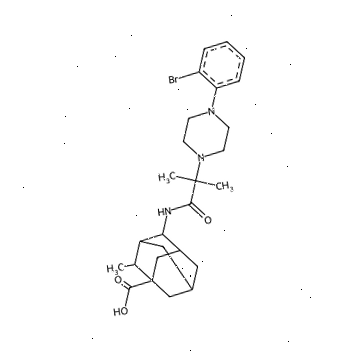 CC1C2CC3CC(CC1(C(=O)O)C3)C2NC(=O)C(C)(C)N1CCN(c2ccccc2Br)CC1